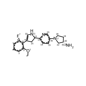 COc1cccc(F)c1C1=CNC(c2ccc(N3CC[C@H](N)C3)cn2)C1